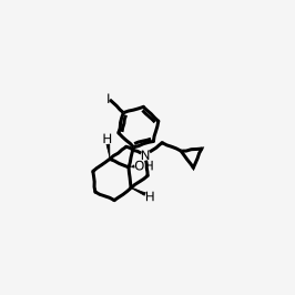 O[C@@]1(c2cccc(I)c2)[C@@H]2CCC[C@H]1CN(CC1CC1)C2